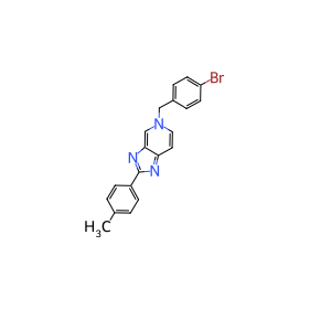 Cc1ccc(-c2nc3ccn(Cc4ccc(Br)cc4)cc-3n2)cc1